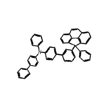 c1ccc(-c2ccc(N(c3ccccc3)c3ccc(-c4cccc(C5(c6ccccc6)c6cccc7ccc8cccc5c8c67)c4)cc3)cc2)cc1